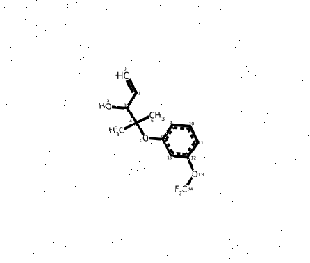 [CH]=CC(O)C(C)(C)Oc1cccc(OC(F)(F)F)c1